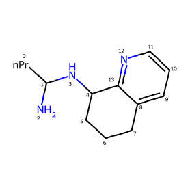 CCCC(N)NC1CCCc2cccnc21